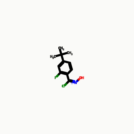 CC(C)(C)c1ccc(/C(Cl)=N\O)c(F)c1